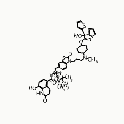 CN(CCCn1c(=O)sc2cc(CNC[C@@H](O[Si](C)(C)C(C)(C)C)c3ccc(O)c4[nH]c(=O)ccc34)ccc21)C1CCC(OC(=O)C(O)(c2cccs2)c2cccs2)CC1